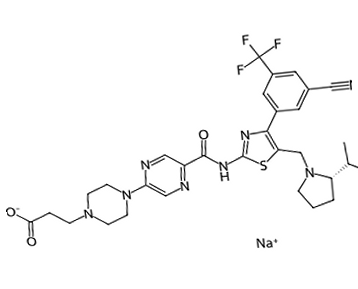 CC(C)[C@@H]1CCCN1Cc1sc(NC(=O)c2cnc(N3CCN(CCC(=O)[O-])CC3)cn2)nc1-c1cc(C#N)cc(C(F)(F)F)c1.[Na+]